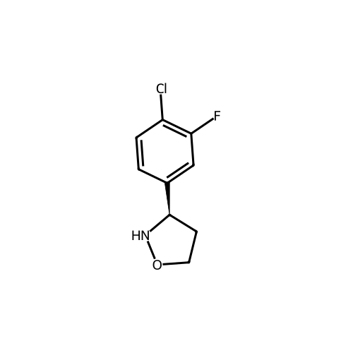 Fc1cc([C@H]2CCON2)ccc1Cl